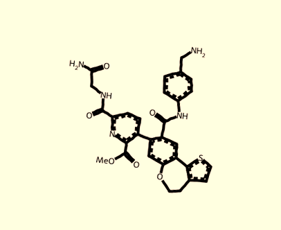 COC(=O)c1nc(C(=O)NCC(N)=O)ccc1-c1cc2c(cc1C(=O)Nc1ccc(CN)cc1)-c1sccc1CCO2